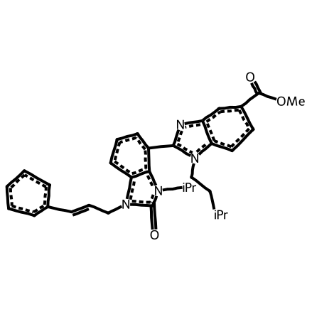 COC(=O)c1ccc2c(c1)nc(-c1cccc3c1n(C(C)C)c(=O)n3C/C=C/c1ccccc1)n2CCC(C)C